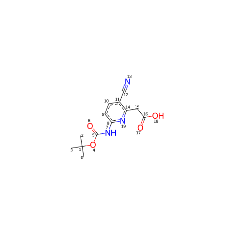 CC(C)(C)OC(=O)Nc1ccc(C#N)c(CC(=O)O)n1